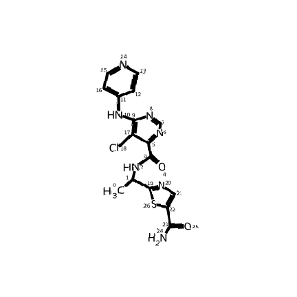 CC(NC(=O)c1ncnc(Nc2ccncc2)c1Cl)c1ncc(C(N)=O)s1